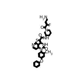 Cc1cc(Oc2ccccc2)ccc1N1C(=O)Nc2c(C(=O)NC3CCCN(C(=O)C(F)=CCN)C3)sc3nccc1c23